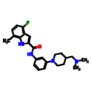 Cc1ccc(F)c2cc(C(=O)Nc3cccc(N4CCC(CN(C)C)CC4)c3)[nH]c12